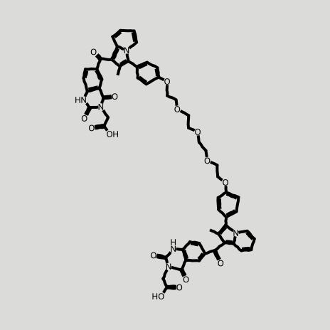 Cc1c(C(=O)c2ccc3[nH]c(=O)n(CC(=O)O)c(=O)c3c2)c2ccccn2c1-c1ccc(OCCOCCOCCOCCOc2ccc(-c3c(C)c(C(=O)c4ccc5[nH]c(=O)n(CC(=O)O)c(=O)c5c4)c4ccccn34)cc2)cc1